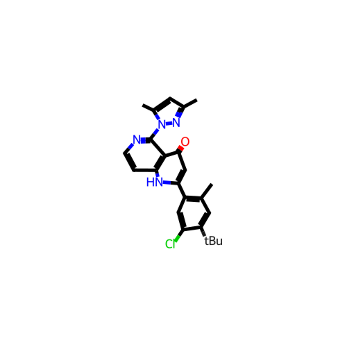 Cc1cc(C)n(-c2nccc3[nH]c(-c4cc(Cl)c(C(C)(C)C)cc4C)cc(=O)c23)n1